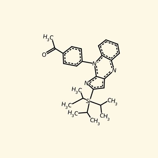 CC(=O)c1ccc(-n2c3nc([Si](C(C)C)(C(C)C)C(C)C)cc-3nc3ccccc32)cc1